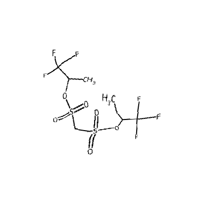 CC(OS(=O)(=O)CS(=O)(=O)OC(C)C(F)(F)F)C(F)(F)F